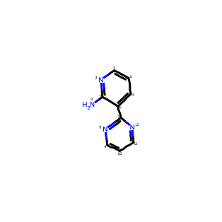 Nc1ncccc1-c1ncccn1